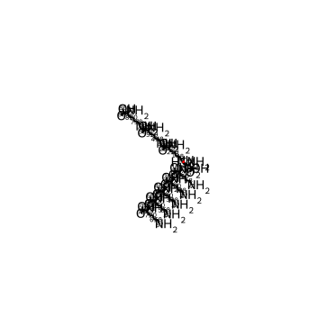 NC(CS)C(=O)O.NCCCCC(N)C(=O)O.NCCCCC(N)C(=O)O.NCCCCC(N)C(=O)O.NCCCCC(N)C(=O)O.NCCCCC(N)C(=O)O.NCCCCC(N)C(=O)O.NCCCCC(N)C(=O)O.NCCCCC(N)C(=O)O